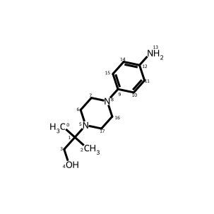 CC(C)(CO)N1CCN(c2ccc(N)cc2)CC1